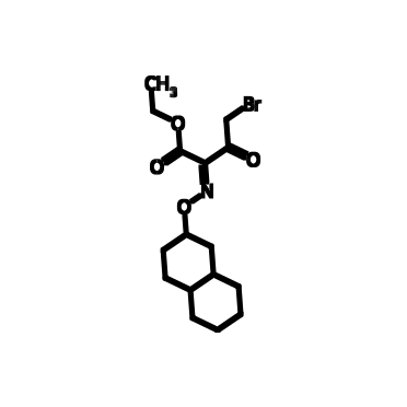 CCOC(=O)C(=NOC1CCC2CCCCC2C1)C(=O)CBr